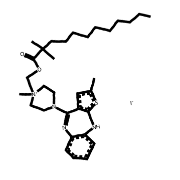 CCCCCCCCCCC(C)(C)C(=O)OC[N+]1(C)CCN(C2=Nc3ccccc3Nc3sc(C)cc32)CC1.[I-]